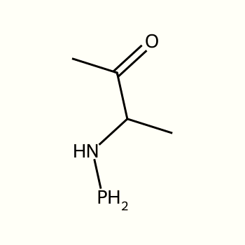 CC(=O)C(C)NP